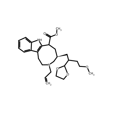 C=CCN1CCc2c([nH]c3ccccc23)C(C(=O)OC)C[C@@H](CC(CCOC)C2OCCO2)C1